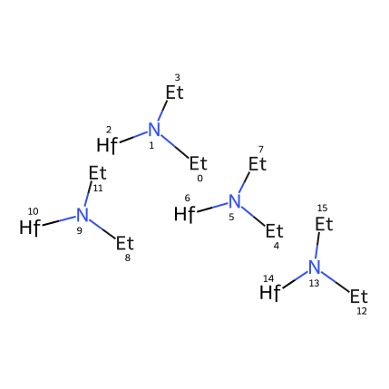 CC[N]([Hf])CC.CC[N]([Hf])CC.CC[N]([Hf])CC.CC[N]([Hf])CC